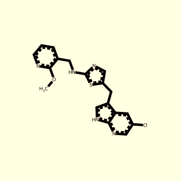 COc1ncccc1CNc1ncc(Cc2c[nH]c3ncc(Cl)cc23)s1